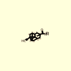 C#CC12CC3C4CC5(C(=O)NCC)CC3C(C1)C(C5)C4C2